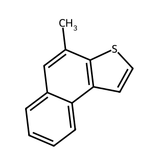 Cc1cc2ccccc2c2ccsc12